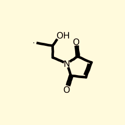 [CH2]C(O)CN1C(=O)C=CC1=O